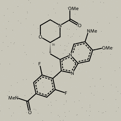 CNC(=O)c1cc(F)c(-c2nc3cc(OC)c(NC)cn3c2C[C@H]2CN(C(=O)OC)CCO2)c(F)c1